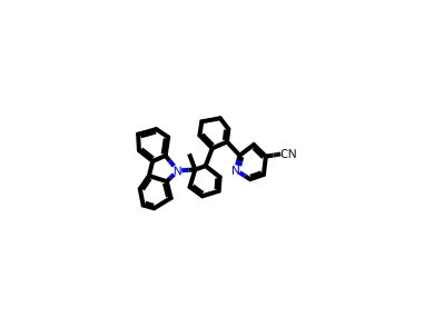 CC1(n2c3ccccc3c3ccccc32)C=CC=CC1C1=CCCC=C1c1cc(C#N)ccn1